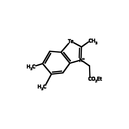 CCOC(=O)C[n+]1c(C)[te]c2cc(C)c(C)cc21